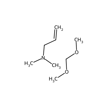 C=CCN(C)C.COCOC